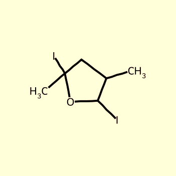 CC1CC(C)(I)OC1I